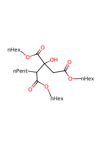 CCCCCCOC(=O)CC(O)(C(=O)OCCCCCC)C(CCCCC)C(=O)OCCCCCC